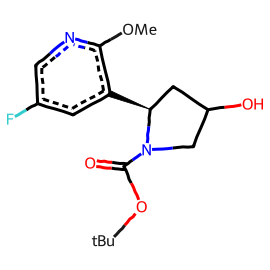 COc1ncc(F)cc1[C@H]1CC(O)CN1C(=O)OC(C)(C)C